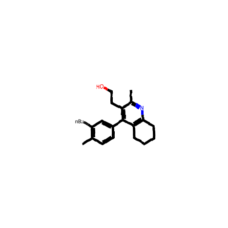 CCCCc1cc(-c2c(CCO)c(C)nc3c2CCCC3)ccc1C